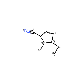 [CH2]CC1C[CH]C(C#N)C1C